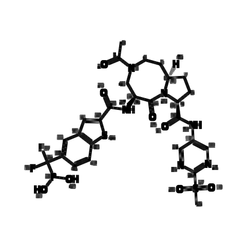 CC(=O)N1CC[C@H]2CC[C@@H](C(=O)Nc3cnc(S(C)(=O)=O)nc3)N2C(=O)[C@@H](NC(=O)c2cc3cc(C(F)(F)P(O)O)ccc3s2)C1